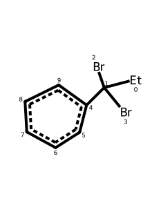 [CH2]CC(Br)(Br)c1ccccc1